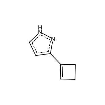 C1=C(c2cc[nH]n2)CC1